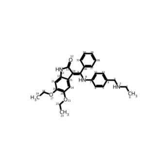 CCNCc1ccc(NC(=C2C(=O)Nc3cc(OCC)c(OCC)cc32)c2ccccc2)cc1